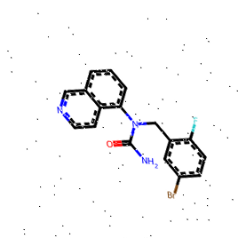 NC(=O)N(Cc1cc(Br)ccc1F)c1cccc2cnccc12